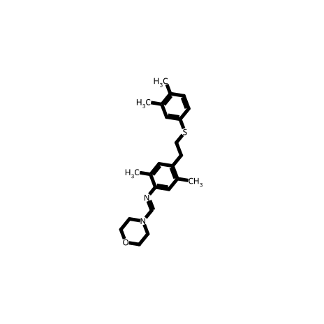 Cc1ccc(SCCc2cc(C)c(N=CN3CCOCC3)cc2C)cc1C